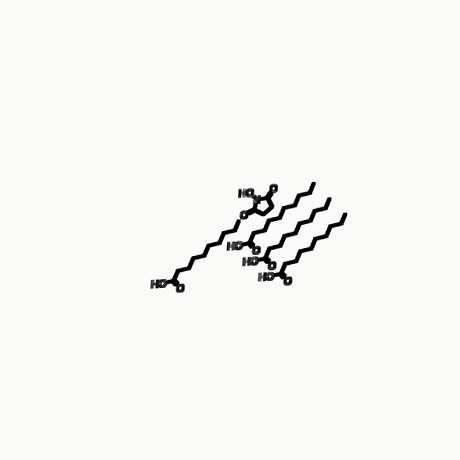 CCCCCCCCCC(=O)O.CCCCCCCCCC(=O)O.CCCCCCCCCC(=O)O.CCCCCCCCCC(=O)O.O=C1CCC(=O)N1O